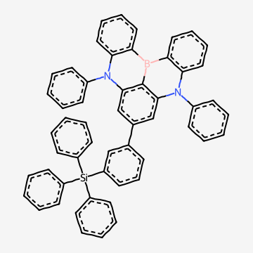 c1ccc(N2c3ccccc3B3c4ccccc4N(c4ccccc4)c4cc(-c5cccc([Si](c6ccccc6)(c6ccccc6)c6ccccc6)c5)cc2c43)cc1